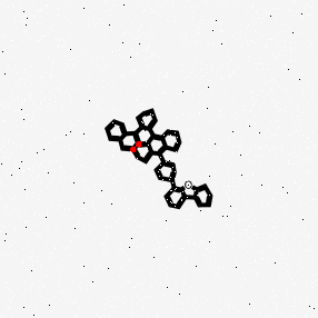 c1ccc(-c2c3ccccc3c(-c3ccc(-c4cccc5c4oc4ccccc45)cc3)c3ccccc23)c(-c2cccc3ccccc23)c1